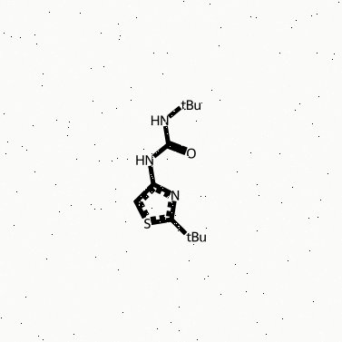 CC(C)(C)NC(=O)Nc1csc(C(C)(C)C)n1